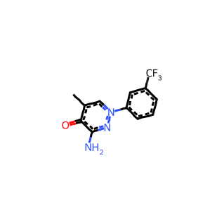 Cc1cn(-c2cccc(C(F)(F)F)c2)nc(N)c1=O